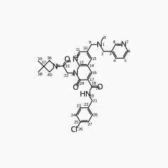 CN(Cc1cccnc1)Cc1cnc2c(c1)cc(C(=O)NCc1ccc(Cl)cc1)c(=O)n2CC(=O)N1CC(C)(C)C1